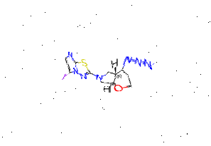 [N-]=[N+]=NC1CCO[C@H]2CN(c3nn4c(I)cnc4s3)C[C@H]12